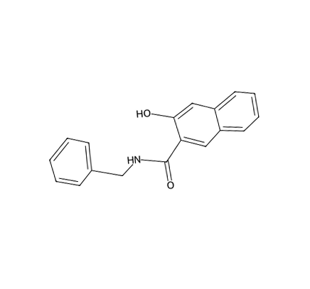 O=C(NCc1ccccc1)c1cc2ccccc2cc1O